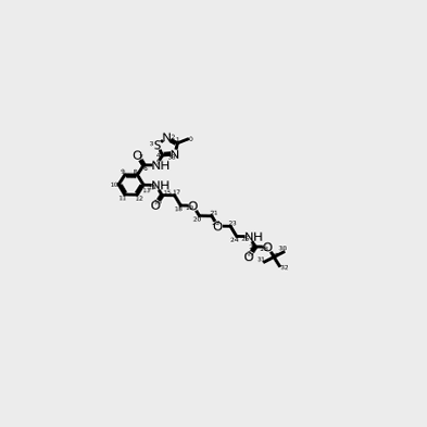 Cc1nsc(NC(=O)c2ccccc2NC(=O)CCOCCOCCNC(=O)OC(C)(C)C)n1